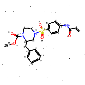 C=CC(=O)Nc1ccc(S(=O)(=O)N2CCN(C(=O)OC(C)(C)C)C(Cc3ccccc3)C2)cc1